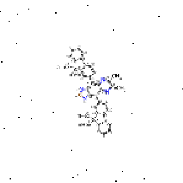 CCCCCCC1(CCCCCC)c2ccccc2-c2ccc(-c3c4nsnc4c(-c4ccc5c(c4)C(CCCCCC)(CCCCCC)c4ccccc4-5)c4nc(C)c(C)nc34)cc21